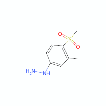 Cc1cc(NN)ccc1S(C)(=O)=O